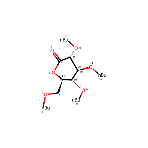 CCCCOC[C@H]1OC(=O)[C@H](OCCCC)[C@@H](OCCCC)[C@@H]1OCCCC